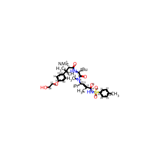 CN[C@H](C(=O)N[C@H](C(=O)N(C)[C@H](/C=C(\C)C(=O)NS(=O)(=O)c1ccc(C)cc1)C(C)C)C(C)(C)C)C(C)(C)c1ccc(OCCO)cc1